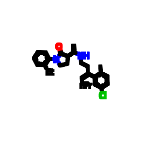 C=C(NCC/C(=C/CCC)c1cc(Cl)ccc1C)C1CCN(c2ccccc2CC)C1=O